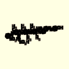 Cc1cc(N=Nc2cc(C)c(N=Nc3ccccc3S(=O)(=O)O)cc2OCCCS(=O)(=O)O)c(C)cc1N=Nc1cc(C)c(N=Nc2ccc3cc(N=Nc4ccc(O)cc4)ccc3c2O)cc1C